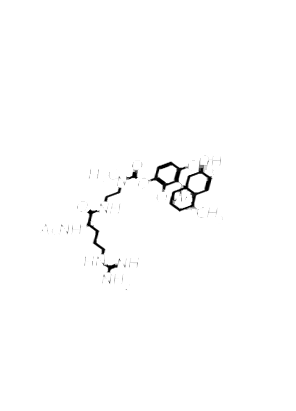 COc1c(OC(=O)N(C)CCNC(=O)[C@H](CCCNC(=N)N)NC(C)=O)ccc(C)c1[C@]12CCC[C@H](C)C1C=CC(O)C2